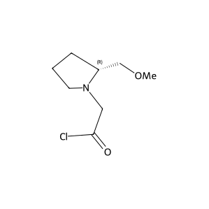 COC[C@H]1CCCN1CC(=O)Cl